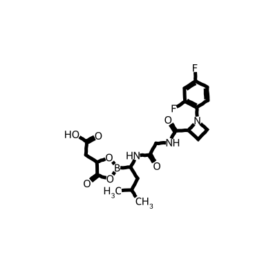 CC(C)CC(NC(=O)CNC(=O)C1CCN1c1ccc(F)cc1F)B1OC(=O)C(CC(=O)O)O1